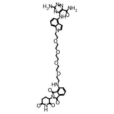 NC(=O)c1nnc(N)nc1Nc1cccc2c1ccn2CCOCCOCCOCCOCCNc1cccc2c1C(=O)N(C1CCC(=O)NC1=O)C2=O